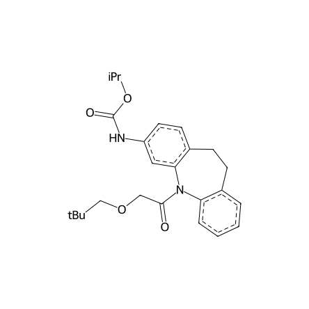 CC(C)OC(=O)Nc1ccc2c(c1)N(C(=O)COCC(C)(C)C)c1ccccc1CC2